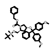 COc1ccc(C(O[C@@H]2C[C@@H](CO[Si](C)(C)C(C)(C)C)N(C(=O)OCc3ccccc3)C2)(c2ccccc2)c2ccc(OC)cc2)cc1